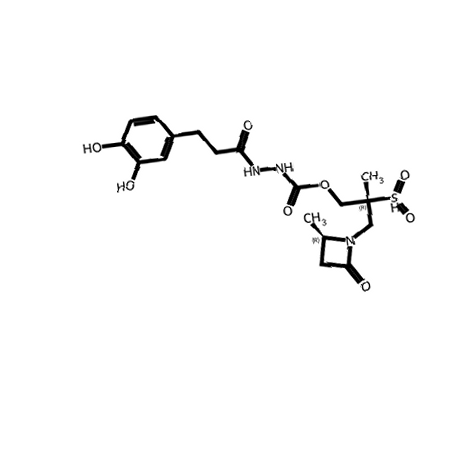 C[C@@H]1CC(=O)N1C[C@](C)(COC(=O)NNC(=O)CCc1ccc(O)c(O)c1)[SH](=O)=O